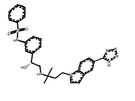 CC(C)(CCn1ccc2cc(-c3nnn[nH]3)ccc21)NC[C@H](O)c1cccc(NS(=O)(=O)c2ccccc2)c1